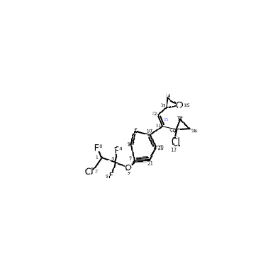 FC(Cl)C(F)(F)Oc1ccc(/C(=C/C2CO2)C2(Cl)CC2)cc1